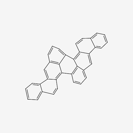 c1ccc2c(c1)ccc1c2cc2cccc3c2c1c1cccc2cc4c5ccccc5ccc4c3c21